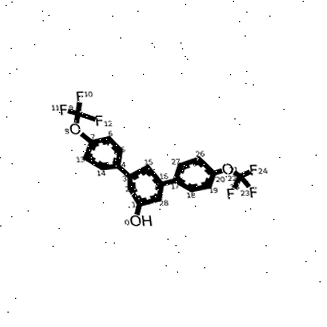 Oc1cc(-c2ccc(OC(F)(F)F)cc2)cc(-c2ccc(OC(F)(F)F)cc2)c1